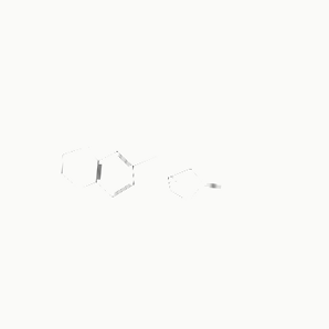 O=S1C[C@@H](Cc2ccc3c(c2)OCCO3)CO1